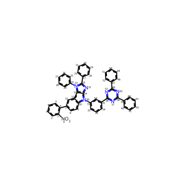 O=[N+]([O-])c1ccccc1-c1ccc2c(c1)c1c(nc(-c3ccccc3)n1-c1ccccc1)n2-c1cccc(-c2nc(-c3ccccc3)nc(-c3ccccc3)n2)c1